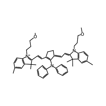 COCCCN1/C(=C/C=C2\CCC(/C=C/C3=[N+](CCCOC)c4ccc(C)cc4C3(C)C)=C2N(c2ccccc2)c2ccccc2)C(C)(C)c2cc(C)ccc21